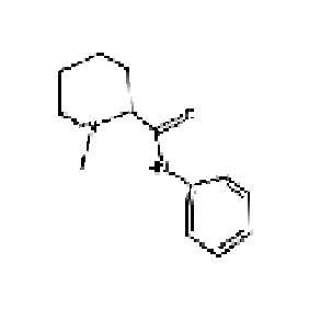 CN1CCCCC1C(=O)Nc1ccccc1